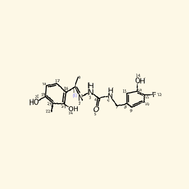 C/C(=N\NC(=O)NCc1ccc(F)c(O)c1)c1ccc(O)c(C)c1O